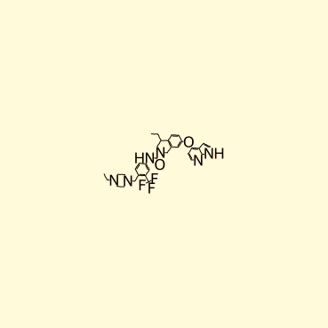 CCC1CN(C(=O)Nc2ccc(CN3CCN(CC)CC3)c(C(F)(F)F)c2)Cc2cc(Oc3ccnc4[nH]ccc34)ccc21